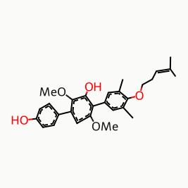 COc1cc(-c2ccc(O)cc2)c(OC)c(O)c1-c1cc(C)c(OCCC=C(C)C)c(C)c1